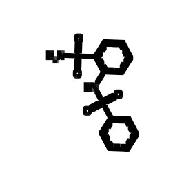 NS(=O)(=O)c1ccccc1NS(=O)(=O)c1ccccc1